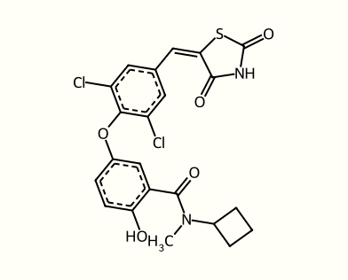 CN(C(=O)c1cc(Oc2c(Cl)cc(C=C3SC(=O)NC3=O)cc2Cl)ccc1O)C1CCC1